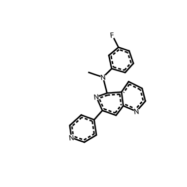 CN(c1cccc(F)c1)c1nc(-c2ccncc2)cc2ncccc12